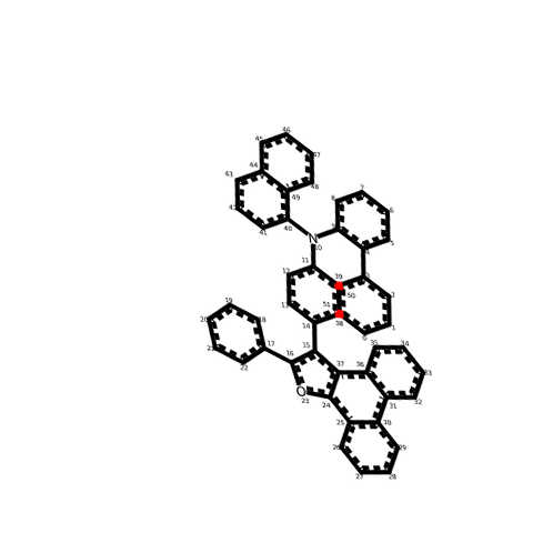 c1ccc(-c2ccccc2N(c2ccc(-c3c(-c4ccccc4)oc4c5ccccc5c5ccccc5c34)cc2)c2cccc3ccccc23)cc1